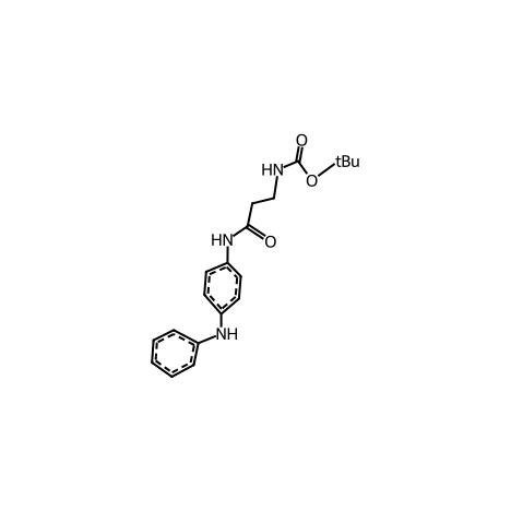 CC(C)(C)OC(=O)NCCC(=O)Nc1ccc(Nc2ccccc2)cc1